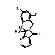 BC1(B)c2ncccc2C(=O)N1Cc1c(F)cc(Br)cc1F